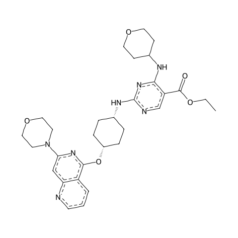 CCOC(=O)c1cnc(N[C@H]2CC[C@@H](Oc3nc(N4CCOCC4)cc4ncccc34)CC2)nc1NC1CCOCC1